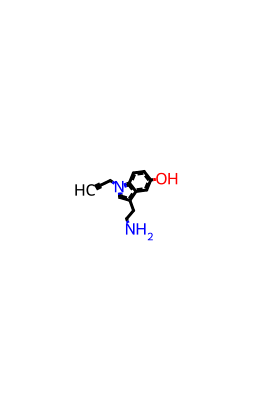 C#CCn1cc(CCN)c2cc(O)ccc21